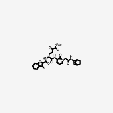 CNC(=O)C(=O)CC[C@H](NC(=O)c1oc2ccccc2c1C)C(=O)Nc1cccn(CC(=O)NC2CC3CCC2C3)c1=O